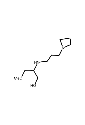 COCC(CO)NCCCN1CCC1